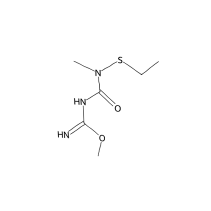 CCSN(C)C(=O)NC(=N)OC